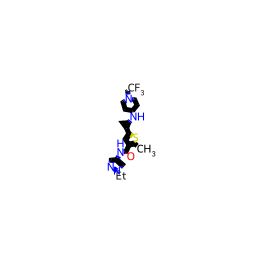 CCn1cc(NC(=O)c2cc(C3CC3NC3CCN(CC(F)(F)F)CC3)sc2C)cn1